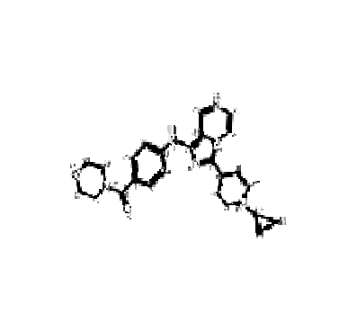 O=C(c1ccc(Nc2nc(C3CCN(C4CC4)CC3)n3ccncc23)cc1)N1CCOCC1